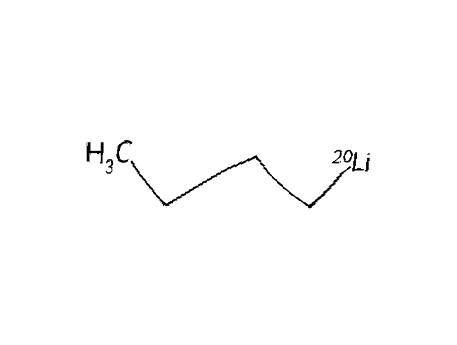 [20Li][CH2]CCC